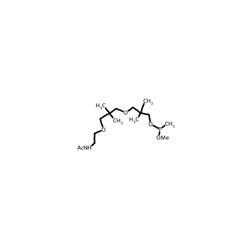 COP(C)OCC(C)(C)COCC(C)(C)COCCNC(C)=O